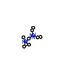 c1ccc(-c2nc3c4ccccc4c4ccccc4c3n2-c2ccc(-c3nc(-c4ccc5ccccc5c4)nc(-c4ccc5ccccc5c4)n3)cc2)cc1